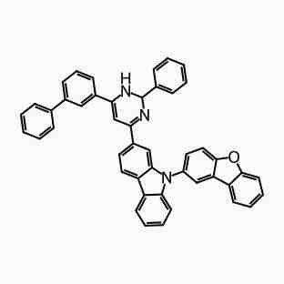 C1=C(c2cccc(-c3ccccc3)c2)NC(c2ccccc2)N=C1c1ccc2c3ccccc3n(-c3ccc4oc5ccccc5c4c3)c2c1